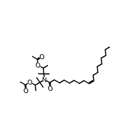 CCCCCCCC/C=C\CCCCCCCC(=O)N(C(C)(C)C(C)OC(C)=O)C(C)(C)C(C)OC(C)=O